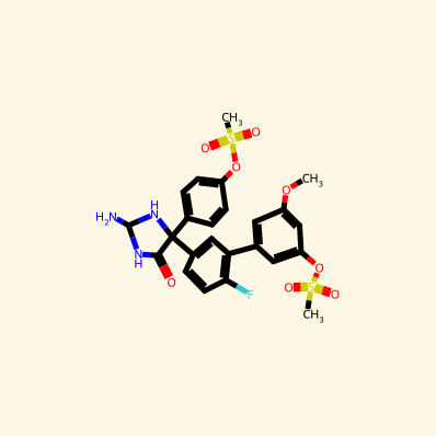 COc1cc(OS(C)(=O)=O)cc(-c2cc(C3(c4ccc(OS(C)(=O)=O)cc4)NC(N)NC3=O)ccc2F)c1